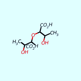 CC(O)C(OC(C(=O)O)C(C)O)C(=O)O